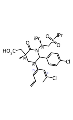 C=C/C=C(\C=C(/C)Cl)[C@H]1C[C@](C)(CC(=O)O)C(=O)N([C@H](CS(=O)(=O)C(C)C)C(C)C)C1c1ccc(Cl)cc1